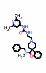 Cc1cc(NC(=O)NCCN2CCC(C(=O)N(C)Cc3ccccc3)(c3ccccc3)CC2)cc(C)n1